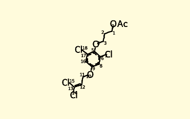 CC(=O)OCCCOc1c(Cl)cc(OCC=C(Cl)Cl)cc1Cl